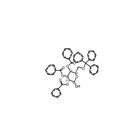 O=C(O[C@@H]1[C@@H](OC(=O)c2ccccc2)[C@H](O)O[C@H](COC(c2ccccc2)(c2ccccc2)c2ccccc2)[C@@H]1OC(=O)c1ccccc1)c1ccccc1